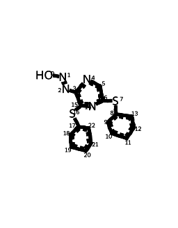 ON=Nc1ncc(Sc2ccccc2)nc1Sc1ccccc1